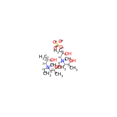 CC[N+](C)(CC(C)O)CC(C)O.CC[N+](C)(CC(C)O)CC(C)O.O=S(=O)([O-])[O-]